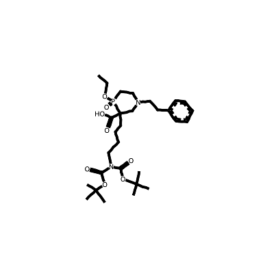 CCOP1(=O)CCN(CCc2ccccc2)CC1(CCCCN(C(=O)OC(C)(C)C)C(=O)OC(C)(C)C)C(=O)O